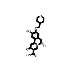 CC[C@H]1Cc2cc(OCC3CCOCC3)c(O)cc2-c2cc(=O)c(C(=O)N=O)cn21